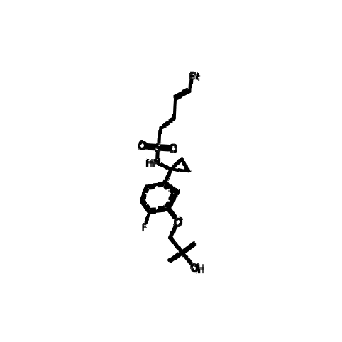 CC/C=C/CCS(=O)(=O)NC1(c2ccc(F)c(OCC(C)(C)O)c2)CC1